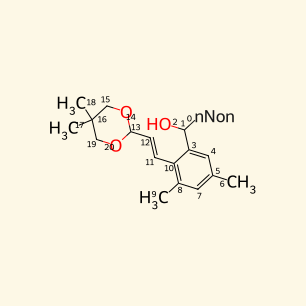 CCCCCCCCCC(O)c1cc(C)cc(C)c1C=CC1OCC(C)(C)CO1